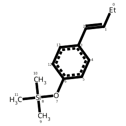 CCC=Cc1ccc(O[Si](C)(C)C)cc1